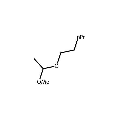 CCCCCOC(C)OC